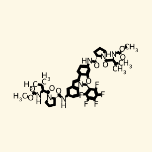 COC(=O)NC(C(=O)N1CCC[C@H]1C(=O)Nc1ccc2c(c1)cc1n2[C@H](c2c(F)c(F)c(F)c(F)c2F)Oc2cc(NC(=O)[C@@H]3CCCN3C(=O)[C@@H](NC(=O)OC)C(C)C)ccc2-1)C(C)C